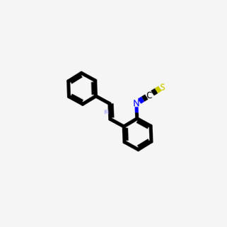 S=C=Nc1ccccc1/C=C/c1ccccc1